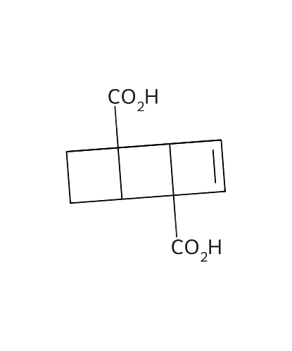 O=C(O)C12C=C3C4CC1C4(C(=O)O)C32